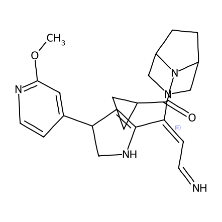 COc1cc(C2C=C(/C(=C\C=N)N3CC4CCC(C3)N4C(=O)C3CC3)NC2)ccn1